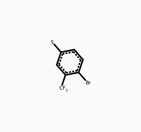 FC(F)(F)c1cc([S])ccc1Br